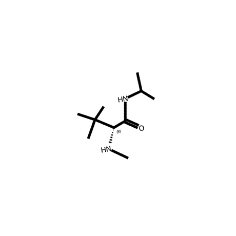 CN[C@@H](C(=O)NC(C)C)C(C)(C)C